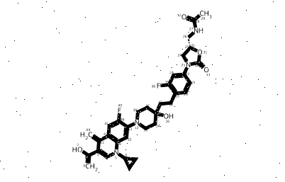 C=C(O)C1=CN(C2CC2)c2cc(N3CCC(O)(CCc4ccc(N5C[C@H](CNC(C)=O)OC5=O)cc4F)CC3)c(F)cc2C1=C